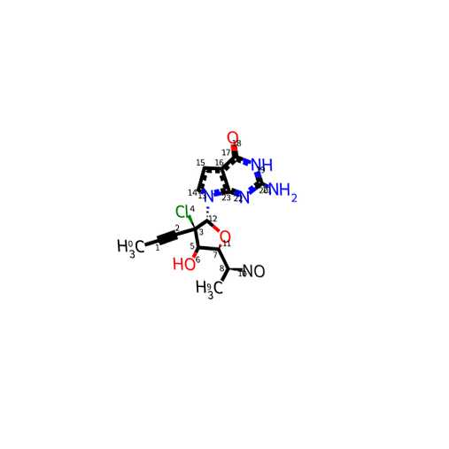 CC#C[C@@]1(Cl)C(O)[C@@H]([C@H](C)N=O)O[C@H]1n1ccc2c(=O)[nH]c(N)nc21